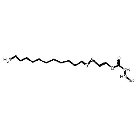 CCNNC(=O)OCCSSCCCCCCCCCCCN